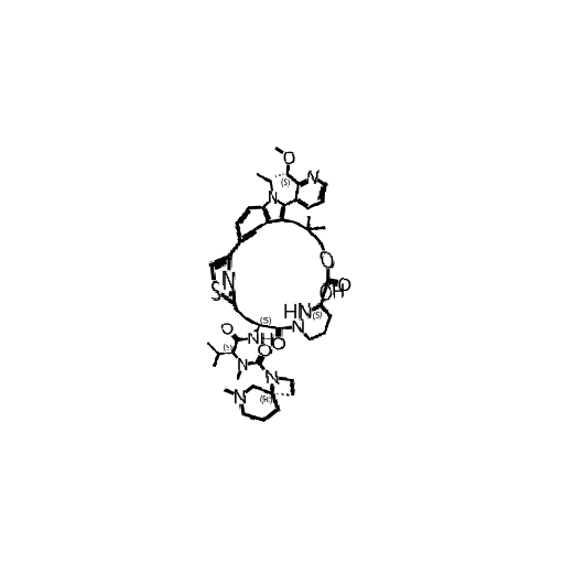 CCn1c(-c2cccnc2[C@H](C)OC)c2c3cc(ccc31)-c1csc(n1)C[C@H](NC(=O)[C@H](C(C)C)N(C)C(=O)N1CC[C@@]13CCCN(C)C3)C(=O)N1CCC[C@@](O)(N1)C(=O)OCC(C)(C)C2